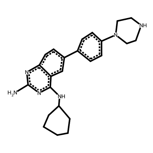 Nc1nc(NC2CCCCC2)c2cc(-c3ccc(N4CCNCC4)cc3)ccc2n1